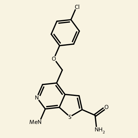 CNc1ncc(COc2ccc(Cl)cc2)c2cc(C(N)=O)sc12